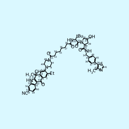 CCc1cc2c(cc1N1CCN(C(=O)CCCCCCC(=O)NC(C(=O)N3C[C@H](O)C[C@H]3C(=O)NCc3ccc(-c4scnc4C)cc3)C(C)(C)C)CC1)C(C)(C)c1[nH]c3cc(C#N)ccc3c1C2=O